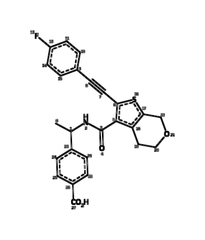 CC(NC(=O)c1c(C#Cc2ccc(F)cc2)sc2c1CCOC2)c1ccc(C(=O)O)cc1